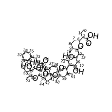 CC[C@@H](C(=O)O)[C@H]1CC[C@H](C)[C@H]([C@@H](C)[C@H](O)[C@H](C)C(O)[C@H](CC)[C@H]2O[C@]3(C=CC(NC(=O)NCc4ccccc4)[C@]4(CC[C@@](C)([C@H]5CC[C@](O)(CC)[C@H](C)O5)O4)O3)[C@H](C)C[C@@H]2C)O1